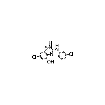 Oc1cc(Cl)cc2c1N=C(Nc1cccc(Cl)c1)NS2